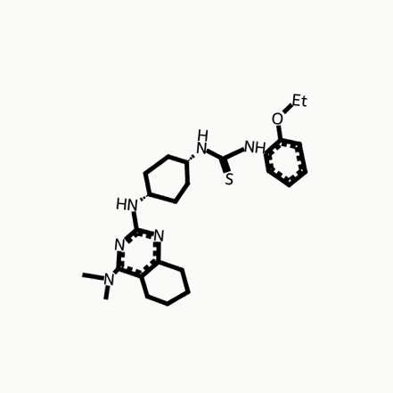 CCOc1ccccc1NC(=S)N[C@H]1CC[C@@H](Nc2nc3c(c(N(C)C)n2)CCCC3)CC1